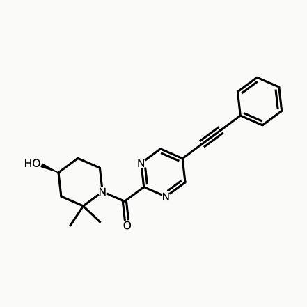 CC1(C)C[C@@H](O)CCN1C(=O)c1ncc(C#Cc2ccccc2)cn1